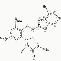 COc1ccc(CN(CCN(C)C(=O)OC(C)(C)C)c2nc3cncc(Br)c3o2)c(OC)c1